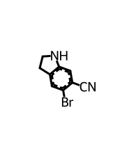 N#Cc1cc2c(cc1Br)CCN2